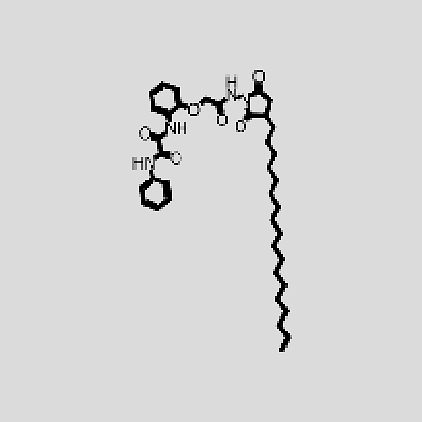 CCCCCCCCCCCCCCCCCCC1CC(=O)N(NC(=O)COc2ccccc2NC(=O)C(=O)Nc2ccccc2)C1=O